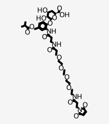 CC(C)C(=O)OCc1ccc(O[C@@H]2O[C@H](C(=O)O)C[C@H](O)[C@H]2O)c(NC(=O)CCNC(=O)CCOCCOCCOCCOCCNC(=O)CCN2C(=O)C=CC2=O)c1